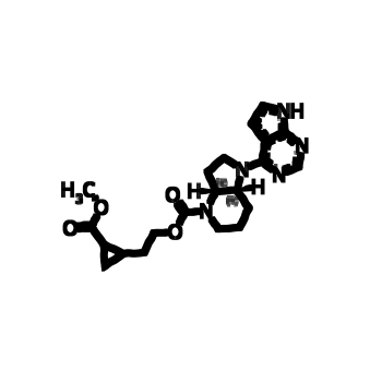 COC(=O)C1CC1CCOC(=O)N1CCC[C@@H]2[C@H]1CCN2c1ncnc2[nH]ccc12